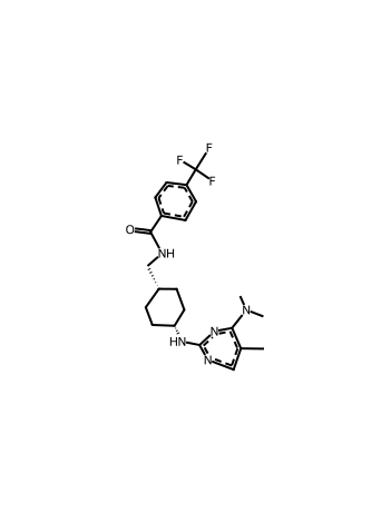 Cc1cnc(N[C@H]2CC[C@@H](CNC(=O)c3ccc(C(F)(F)F)cc3)CC2)nc1N(C)C